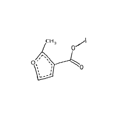 Cc1occc1C(=O)OI